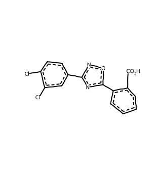 O=C(O)c1ccccc1-c1nc(-c2ccc(Cl)c(Cl)c2)no1